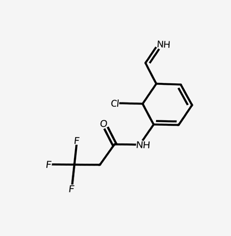 N=CC1C=CC=C(NC(=O)CC(F)(F)F)C1Cl